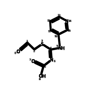 O=CCSC(=NC(=O)O)Nc1cccnc1